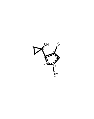 CC(C)n1cc(Br)c(C2(C#N)CC2)n1